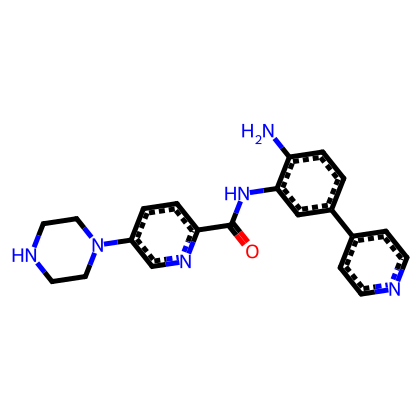 Nc1ccc(-c2ccncc2)cc1NC(=O)c1ccc(N2CCNCC2)cn1